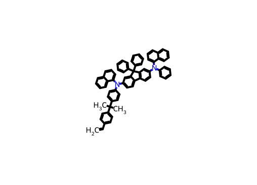 C=Cc1ccc(C(C)(C)c2ccc(N(c3ccc4c(c3)C(c3ccccc3)(c3ccccc3)c3cc(N(c5ccccc5)c5cccc6ccccc56)ccc3-4)c3cccc4ccccc34)cc2)cc1